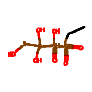 CCS(=O)(=O)[SH](=O)(O)S(O)(O)SO